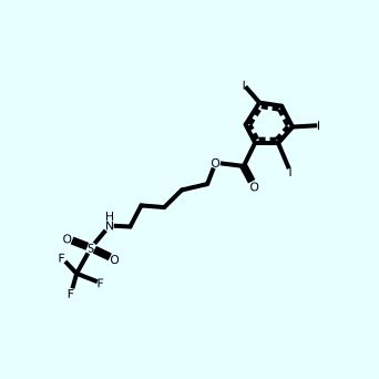 O=C(OCCCCCNS(=O)(=O)C(F)(F)F)c1cc(I)cc(I)c1I